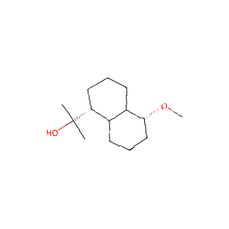 CO[C@@H]1CCCC2C1CCC[C@H]2C(C)(C)O